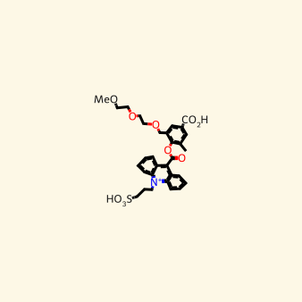 COCCOCCOCc1cc(C(=O)O)cc(C)c1OC(=O)c1c2ccccc2[n+](CCCS(=O)(=O)O)c2ccccc12